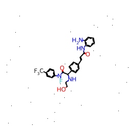 Nc1ccccc1NC(=O)C=Cc1ccc(C(NCCO)C(=O)N(F)c2ccc(C(F)(F)F)cc2)cc1